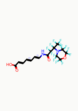 O=C(O)C=C/C=C/C=C/NC(=O)C(F)(F)C(F)(N1C(F)(F)C(F)(F)OC(F)(F)C1(F)F)C(F)(F)F